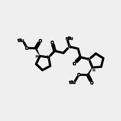 CCCCN(CC(=O)N1CCC[C@@H]1C(=O)OC(C)(C)C)CC(=O)N1CCC[C@@H]1C(=O)OC(C)(C)C